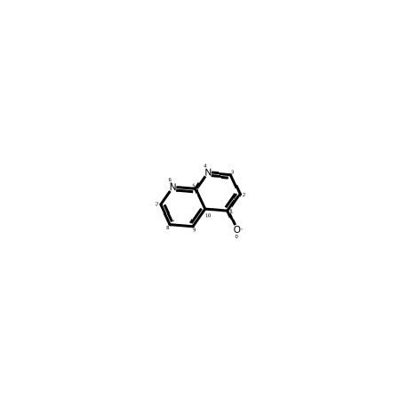 [O]c1ccnc2ncccc12